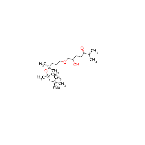 C=C(C)C(=O)CCC(O)COCCC[Si](C)(C)O[Si](C)(C)C[Si](C)(C)CCCC